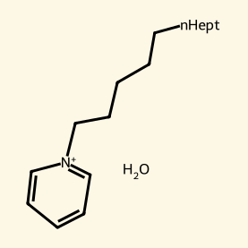 CCCCCCCCCCCC[n+]1ccccc1.O